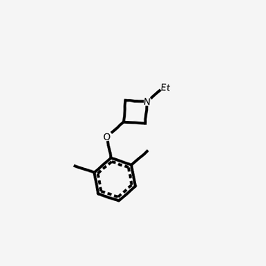 CCN1CC(Oc2c(C)cccc2C)C1